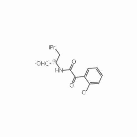 CC(C)C[C@@H]([C]=O)NC(=O)C(=O)c1ccccc1Cl